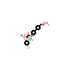 COCc1ccc(-c2ccc(NC(=O)C(C)(C)Oc3ccc(Cl)cc3Cl)cc2)cc1